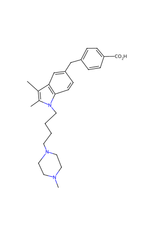 Cc1c(C)n(CCCCN2CCN(C)CC2)c2ccc(Cc3ccc(C(=O)O)cc3)cc12